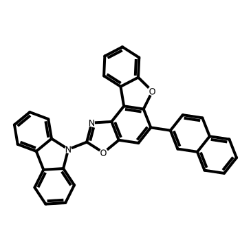 c1ccc2cc(-c3cc4oc(-n5c6ccccc6c6ccccc65)nc4c4c3oc3ccccc34)ccc2c1